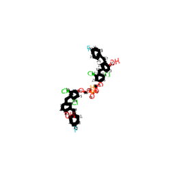 O=[PH](OCOc1cc(Cl)c(Cc2ccc(O)c(Cc3ccc(F)cc3)c2)c(Cl)c1)OCOc1cc(Cl)c(Cc2ccc(O)c(Cc3ccc(F)cc3)c2)c(Cl)c1